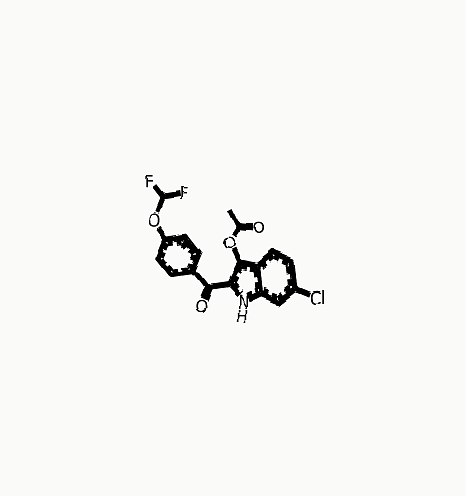 CC(=O)Oc1c(C(=O)c2ccc(OC(F)F)cc2)[nH]c2cc(Cl)ccc12